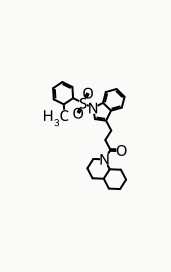 CC1C=CC=CC1S(=O)(=O)n1cc(CCC(=O)N2CCCC3CCCCC32)c2ccccc21